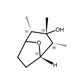 C[C@@H]1[C@@H]2CCC(O2)[C@H](C)[C@]1(C)O